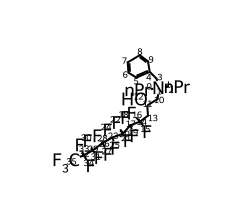 CCC[N+](CCC)(Cc1ccccc1)CC(O)CC(F)(F)C(F)(F)C(F)(F)C(F)(F)C(F)(F)C(F)(F)C(F)(F)C(F)(F)F